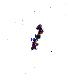 CCCC(Sc1nnc(-c2ccc(-c3ccc(NC(=O)C(Sc4nnc(-c5ccc(-c6ccc(N(C(=O)CSc7nnc(-c8cccs8)n7C(=O)OC(C)(C)C)C(=O)OC(C)(C)C)cc6)s5)n4Cc4ccccc4)C(F)(F)F)cc3)s2)n1C(=O)OC(C)(C)C)C(=O)Nc1ccccc1